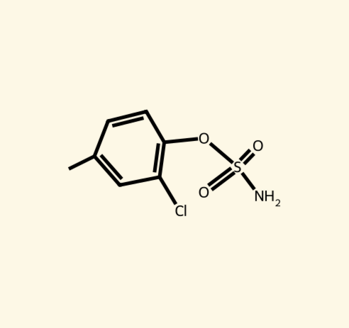 Cc1ccc(OS(N)(=O)=O)c(Cl)c1